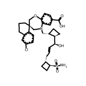 NS(=O)(=O)[C@H]1CC[C@@H]1C/C=C/[C@H](O)[C@@H]1CC[C@H]1CN1C[C@@]2(CCCc3cc(Cl)ccc32)COc2ccc(C(=O)O)cc21